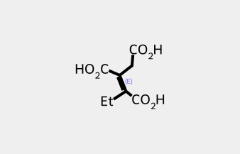 CC/C(C(=O)O)=C(/CC(=O)O)C(=O)O